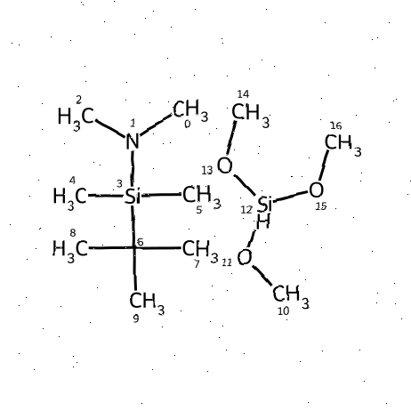 CN(C)[Si](C)(C)C(C)(C)C.CO[SiH](OC)OC